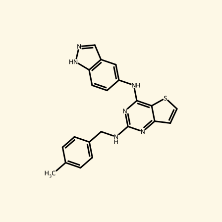 Cc1ccc(CNc2nc(Nc3ccc4[nH]ncc4c3)c3sccc3n2)cc1